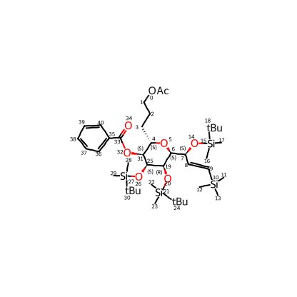 CC(=O)OCCC[C@@H]1O[C@@H]([C@H](C=C[Si](C)(C)C)O[Si](C)(C)C(C)(C)C)[C@@H](O[Si](C)(C)C(C)(C)C)[C@@H](O[Si](C)(C)C(C)(C)C)[C@H]1OC(=O)c1ccccc1